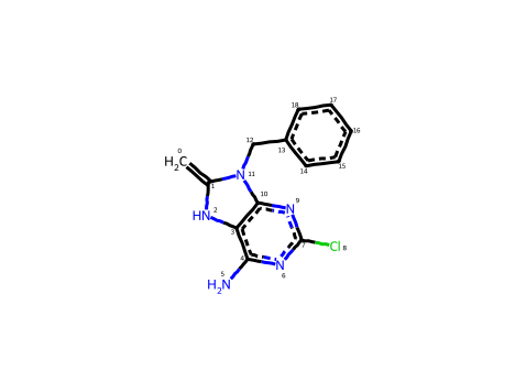 C=C1Nc2c(N)nc(Cl)nc2N1Cc1ccccc1